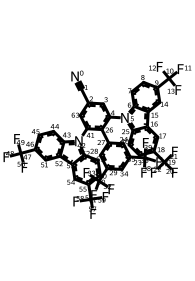 N#Cc1cc(-n2c3ccc(C(F)(F)F)cc3c3cc(C(F)(F)F)ccc32)c(-c2cc(C(F)(F)F)cc(C(F)(F)F)c2)c(-n2c3ccc(C(F)(F)F)cc3c3cc(C(F)(F)F)ccc32)c1